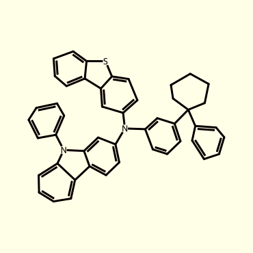 c1ccc(-n2c3ccccc3c3ccc(N(c4cccc(C5(c6ccccc6)CCCCC5)c4)c4ccc5sc6ccccc6c5c4)cc32)cc1